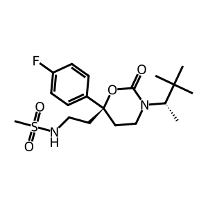 C[C@H](N1CC[C@](CCNS(C)(=O)=O)(c2ccc(F)cc2)OC1=O)C(C)(C)C